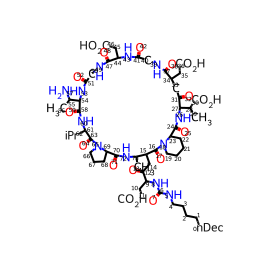 CCCCCCCCCCCCCCNC(=O)NC(CC(=O)O)C(=O)CC1C(=O)N2CCCCC2C(=O)NC(C(C)C(=O)O)C(=O)CC(CC(=O)O)C(=O)NCC(=O)NC(CC(=O)O)C(=O)NCC(=O)NC(C(C)N)C(=O)NC(C(C)C)C(=O)N2CCCC2C(=O)NC1C